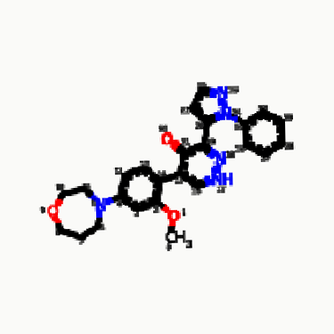 COc1cc(N2CCCOCC2)ccc1-c1c[nH]nc(-c2ccnn2-c2ccccc2)c1=O